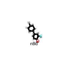 CCCCOc1ccc(-c2ccc(C)cc2)cc1F